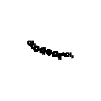 CCCCC[C@]1(C#N)CC[C@H](c2ccc(-c3ncc([C@H]4CC[C@H](CCCC)CC4)cn3)cc2)CC1